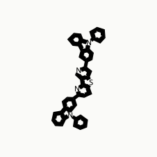 c1ccc(-n2c3ccccc3c3cc(-c4cc5sc6ccc(-c7ccc8c9ccccc9n(-c9ccccc9)c8c7)nc6c5cn4)ccc32)cc1